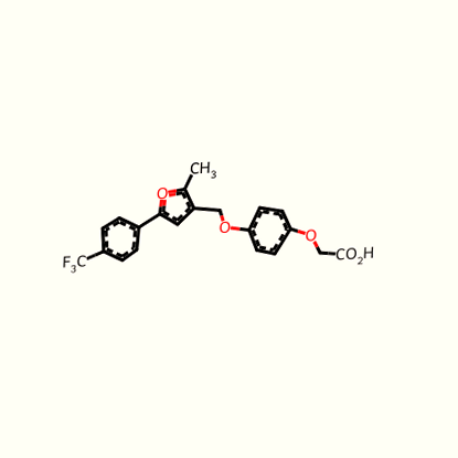 Cc1oc(-c2ccc(C(F)(F)F)cc2)cc1COc1ccc(OCC(=O)O)cc1